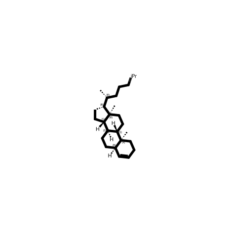 CC(C)CCC[C@@H](C)[C@H]1CC[C@H]2[C@@H]3CC[C@@H]4C=CCC[C@]4(C)[C@H]3CC[C@]12C